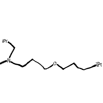 CC(C)CCCOCCCN(C)CC(C)C